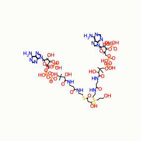 CC(C)(COP(=O)(O)OP(=O)(O)OC[C@H]1O[C@@H](n2cnc3c(N)ncnc32)[C@H](O)[C@@H]1OP(=O)(O)O)C(O)C(=O)NCCC(=O)NCCSC(=O)CC(O)[SH](CCCO)CCNC(=O)CCNC(=O)C(O)C(C)(C)COP(=O)(O)OP(=O)(O)OC[C@H]1O[C@@H](n2cnc3c(N)ncnc32)[C@H](O)[C@@H]1OP(=O)(O)O